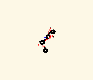 COC(=O)C(Cc1coc(-c2ccc(OC)c(OCc3ccccc3)c2)n1)C(=O)c1ccccc1OC